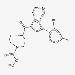 CC(C)(C)OC(=O)N1CCC(C(=O)c2cn(-c3ccc(F)cc3Br)c3cnccc23)CC1